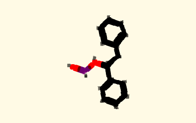 O=POC(Cc1ccccc1)c1ccccc1